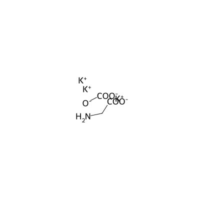 NCC(=O)[O-].O=C([O-])[O-].[K+].[K+].[K+]